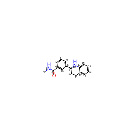 CNC(=O)c1cccc(C2CCc3ccccc3N2)c1